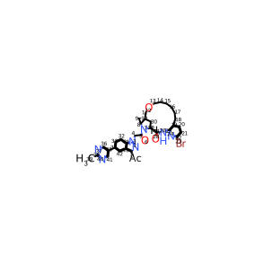 CC(=O)c1nn(CC(=O)N2C3C[C@@]34COCCCCCCc3ccc(Br)nc3NC(=O)[C@@H]2C4)c2ccc(-c3cnc(C)nc3)cc12